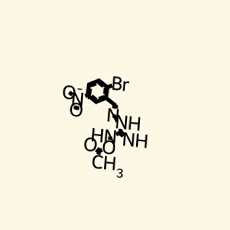 CC(=O)ONC(=N)NN=Cc1cc([N+](=O)[O-])ccc1Br